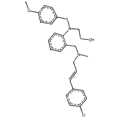 COc1ccc(SN(CCO)c2ccccc2CN(C)C/C=C/c2ccc(Cl)cc2)cc1